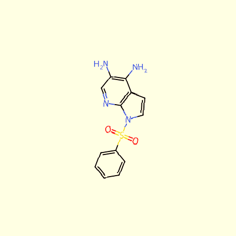 Nc1cnc2c(ccn2S(=O)(=O)c2ccccc2)c1N